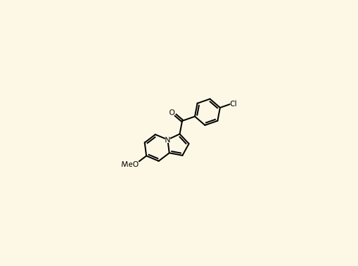 COc1ccn2c(C(=O)c3ccc(Cl)cc3)ccc2c1